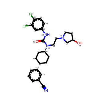 N#Cc1cccc([C@H]2CC[C@@H](N(CCN3CCC(O)C3)C(=O)Nc3ccc(F)c(Cl)c3)CC2)c1